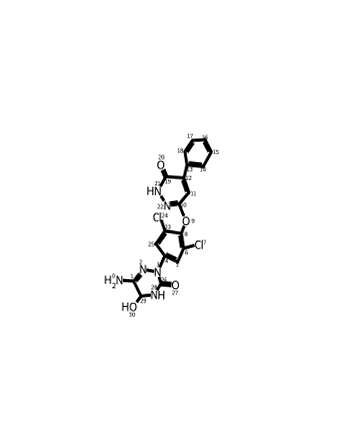 NC1=NN(c2cc(Cl)c(Oc3cc(-c4ccccc4)c(=O)[nH]n3)c(Cl)c2)C(=O)NC1O